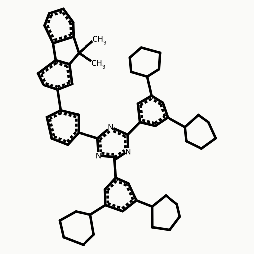 CC1(C)c2ccccc2-c2ccc(-c3cccc(-c4nc(-c5cc(C6CCCCC6)cc(C6CCCCC6)c5)nc(-c5cc(C6CCCCC6)cc(C6CCCCC6)c5)n4)c3)cc21